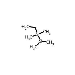 [CH2]C[Si](C)(C)[Si](C)C